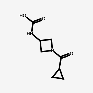 O=C(O)NC1CN(C(=O)C2CC2)C1